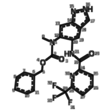 CN(C(=O)OCc1ccccc1)c1cc2n[nH]cc2cc1NC(=O)c1cccc(C(F)(F)F)n1